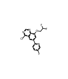 Fc1ccc(-c2cc(OCC(F)F)c3ncnc(Cl)c3c2)nc1